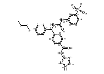 CCCCc1ccc(C(NC(=O)Nc2cccc(S(C)(=O)=O)c2)c2ccc(C(=O)Nc3nn[nH]n3)cc2)cc1